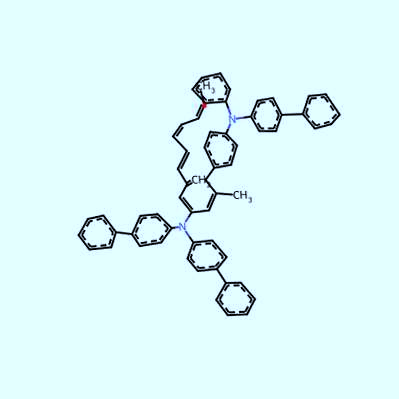 C=C(/C=C/C=C\C=C/C)/C=C(\C=C(\C)Cc1ccc(N(c2ccccc2)c2ccc(-c3ccccc3)cc2)cc1)N(c1ccc(-c2ccccc2)cc1)c1ccc(-c2ccccc2)cc1